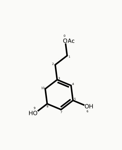 CC(=O)OCCC1=CC(O)=CC(O)C1